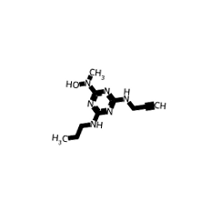 C#CCNc1nc(NCCC)nc(N(C)O)n1